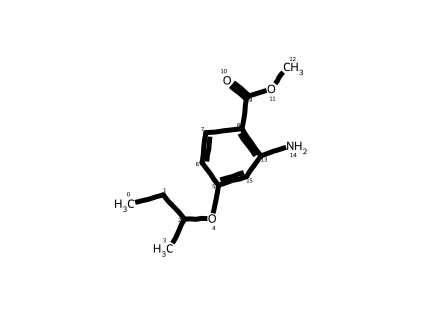 CCC(C)Oc1ccc(C(=O)OC)c(N)c1